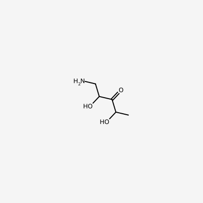 CC(O)C(=O)C(O)CN